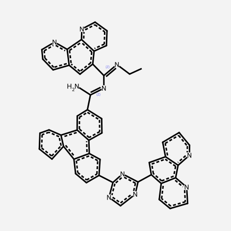 CC/N=C(\N=C(/N)c1ccc2c(c1)c1ccccc1c1ccc(-c3ncnc(-c4cc5cccnc5c5ncccc45)n3)cc12)c1cc2cccnc2c2ncccc12